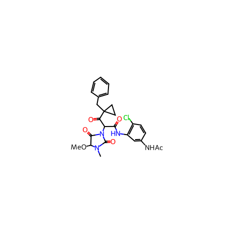 COC1C(=O)N(C(C(=O)Nc2cc(NC(C)=O)ccc2Cl)C(=O)C2(Cc3ccccc3)CC2)C(=O)N1C